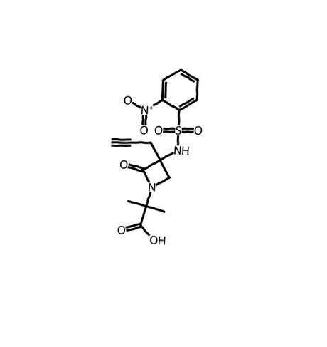 C#CCC1(NS(=O)(=O)c2ccccc2[N+](=O)[O-])CN(C(C)(C)C(=O)O)C1=O